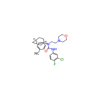 N#Cc1cccc([C@]23CC[C@@H](N(CCN4CCOCC4)C(=O)Nc4ccc(F)c(Cl)c4)CC2C3)c1